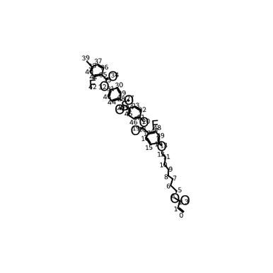 C=CC(=O)OCCCCCCCCOc1ccc(C(=O)Oc2ccc(S(=O)(=O)c3ccc(OC(=O)c4ccc(C)cc4F)cc3)cc2)c(F)c1